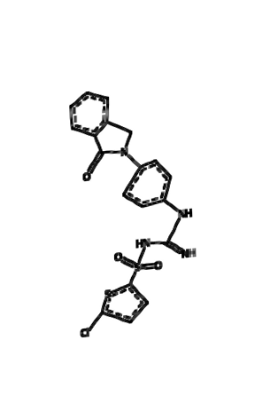 N=C(Nc1ccc(N2Cc3ccccc3C2=O)cc1)NS(=O)(=O)c1ccc(Cl)s1